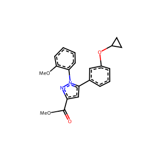 COC(=O)c1cc(-c2cccc(OC3CC3)c2)n(-c2ccccc2OC)n1